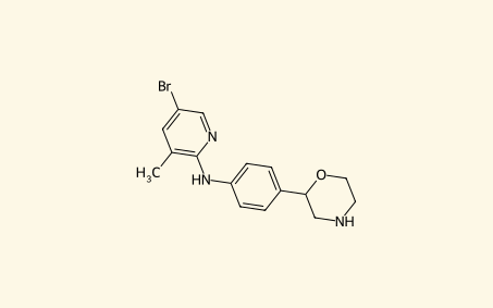 Cc1cc(Br)cnc1Nc1ccc(C2CNCCO2)cc1